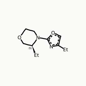 CCc1coc(N2CCOC[C@@H]2CC)n1